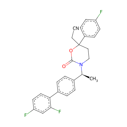 C[C@@H](c1ccc(-c2ccc(F)cc2F)cc1)N1CCC(CC#N)(c2ccc(F)cc2)OC1=O